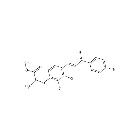 CC(Oc1ccc(/C=C/C(=O)c2ccc(Br)cc2)c(Cl)c1Cl)C(=O)OC(C)(C)C